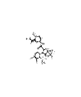 COc1c(C2C(C(=O)Nc3cc[n+]([O-])c(C(N)=O)c3)OC(C)(C(F)(F)F)C2C)ccc(F)c1F